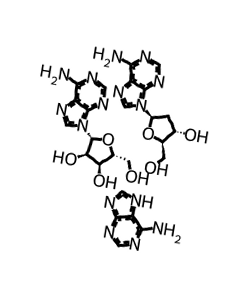 Nc1ncnc2c1ncn2[C@@H]1O[C@H](CO)[C@@H](O)[C@H]1O.Nc1ncnc2c1ncn2[C@H]1C[C@H](O)[C@@H](CO)O1.Nc1ncnc2nc[nH]c12